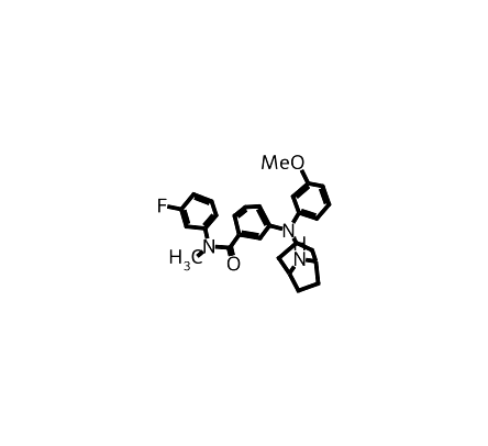 COc1cccc(N(c2cccc(C(=O)N(C)c3cccc(F)c3)c2)C2CC3CCC(C2)N3)c1